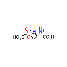 NC(CC(=O)O)c1ccc2c(c1)NC(=O)C(CC(=O)O)O2